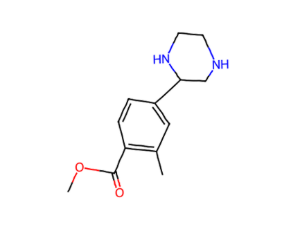 COC(=O)c1ccc(C2CNCCN2)cc1C